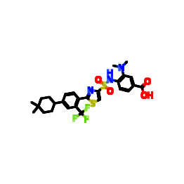 CN(C)c1cc(C(=O)O)ccc1NS(=O)(=O)c1csc(-c2ccc(C3CCC(C)(C)CC3)cc2C(F)(F)F)n1